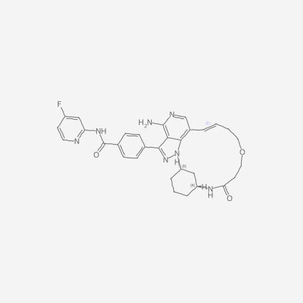 Nc1ncc2c3c1c(-c1ccc(C(=O)Nc4cc(F)ccn4)cc1)nn3[C@@H]1CCC[C@H](C1)NC(=O)CCOCC/C=C/2